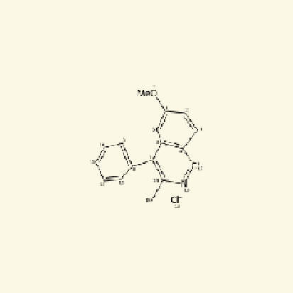 COc1ccc2c(c1)C(c1ccccc1)=C(C)N=[C+]2.[Cl-]